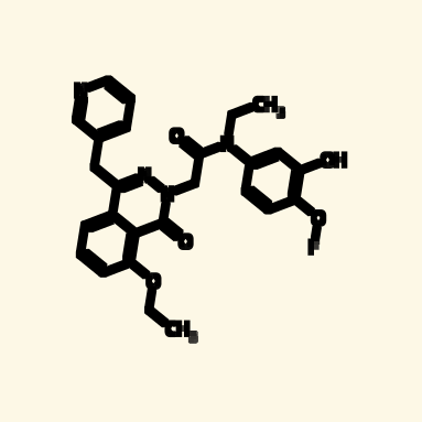 CCOc1cccc2c(Cc3cccnc3)nn(CC(=O)N(CC)c3ccc(OF)c(O)c3)c(=O)c12